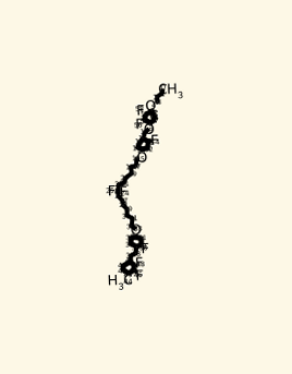 CCCCOc1ccc(OCc2ccc(OCCCCCCCC(F)(F)CCCCCCCOc3ccc(CCc4ccc(C)c(F)c4F)c(F)c3)cc2F)c(F)c1F